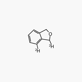 [2H]c1cccc2c1C([2H])OC2